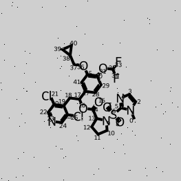 Cn1ccnc1S(=O)(=O)N1CCCC1C(=O)OC(Cc1c(Cl)cncc1Cl)c1ccc(OC(F)F)c(OCC2CC2)c1